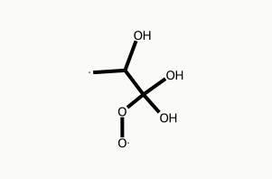 [CH2]C(O)C(O)(O)O[O]